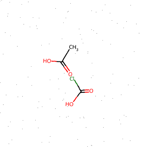 CC(=O)O.O=C(O)Cl